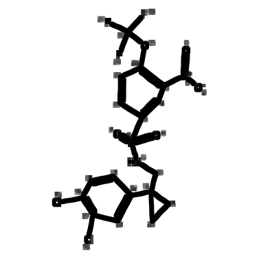 O=[N+]([O-])c1cc(S(=O)(=O)NCC2(c3ccc(Cl)c(Cl)c3)CC2)ccc1OC(F)(F)F